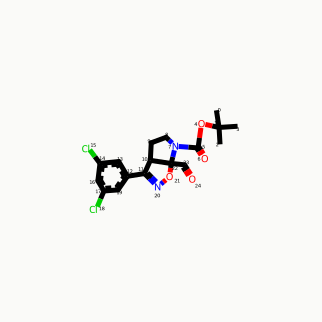 CC(C)(C)OC(=O)N1CCC2C(c3cc(Cl)cc(Cl)c3)=NOC21C=O